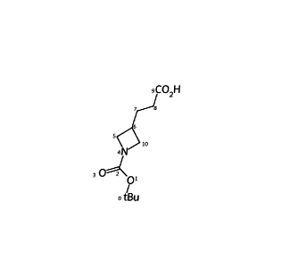 CC(C)(C)OC(=O)N1CC(CCC(=O)O)C1